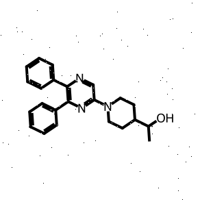 C[C](O)C1CCN(c2cnc(-c3ccccc3)c(-c3ccccc3)n2)CC1